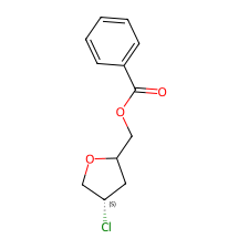 O=C(OCC1C[C@H](Cl)CO1)c1ccccc1